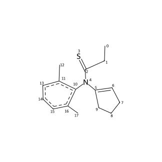 CCC(=S)N(C1=CCCC1)c1c(C)cccc1C